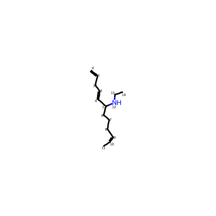 C=CCC=CC(CCC/C=C\C)NCC